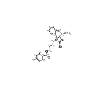 CCc1nc2c(N)nc3ccccc3c2n1CCCCNC(=O)c1ccc(C)cc1